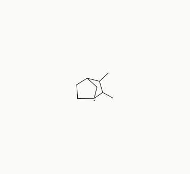 CC1[C]2CCC(C2)C1C